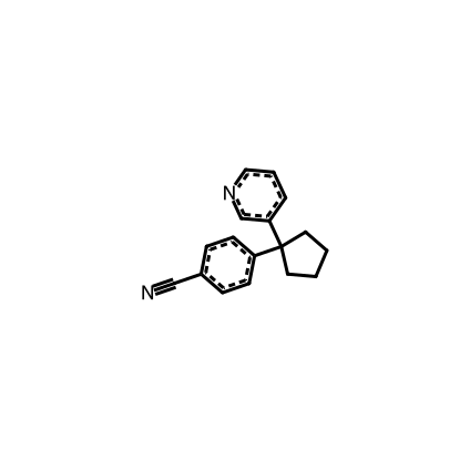 N#Cc1ccc(C2(c3cccnc3)CCCC2)cc1